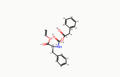 C=COC(=O)[C@H](Cc1ccccc1)NC(=O)OC(=O)Cc1ccccc1